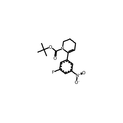 CC(C)(C)OC(=O)N1CCCC=C1c1cc(F)cc([N+](=O)[O-])c1